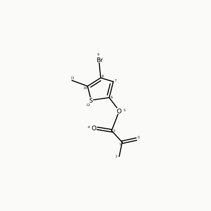 C=C(C)C(=O)Oc1cc(Br)c(C)s1